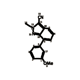 COc1cccc(-c2cccc3c(C#N)n(C)nc23)c1